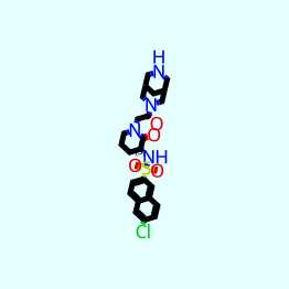 O=C(CN1CCC[C@H](NS(=O)(=O)c2ccc3cc(Cl)ccc3c2)C1=O)N1CC2CNCC(C2)C1